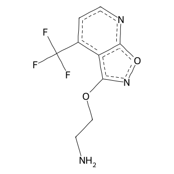 NCCOc1noc2nccc(C(F)(F)F)c12